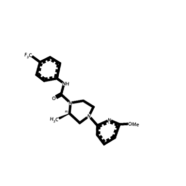 COc1cccc(N2CCN(C(=O)Nc3ccc(C(F)(F)F)cc3)[C@H](C)C2)n1